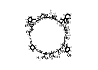 CC(C)C1NC(=O)[C@H](Cc2ccc(O)cc2)NC(=O)[C@H](C)NC(=O)C(C)(C)NC(=O)[C@H](Cc2c[nH]c3ncccc23)NC(=O)[C@H]([C@@H](C)O)NC(=O)[C@@H]2CCCN2C(=O)[C@H](Cc2cccc(C(F)(F)F)c2)NC(=O)C(C(C)(C)C)NC(=O)CCSCc2cccc(c2)CSC[C@H](C(N)=O)NC(=O)C([C@H](C)O)NC1=O